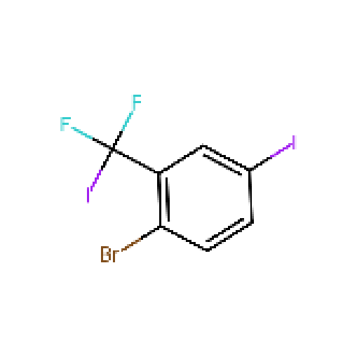 FC(F)(I)c1cc(I)ccc1Br